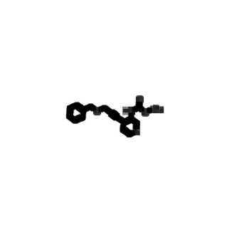 CC(C)(C)OC(=O)Nc1cnccc1C#CCOCc1ccccc1